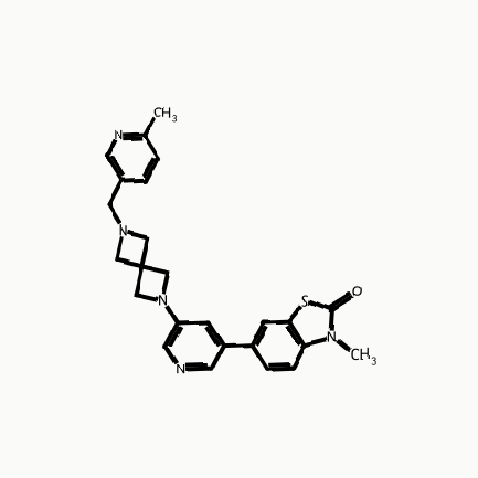 Cc1ccc(CN2CC3(C2)CN(c2cncc(-c4ccc5c(c4)sc(=O)n5C)c2)C3)cn1